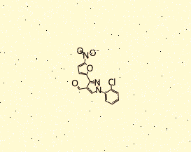 O=Cc1cn(-c2ccccc2Cl)nc1-c1ccc([N+](=O)[O-])o1